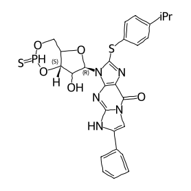 CC(C)c1ccc(Sc2nc3c(=O)n4cc(-c5ccccc5)[nH]c4nc3n2[C@@H]2OC3CO[PH](=S)O[C@H]3C2O)cc1